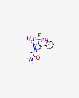 CC(C(=O)N(C)C)n1cc(-c2ccccc2)c(C(F)(P)P)n1